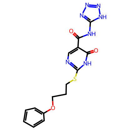 O=C(Nc1nnn[nH]1)c1cnc(SCCCOc2ccccc2)[nH]c1=O